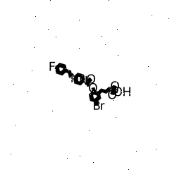 O=C(COc1ccc(Br)cc1CCCS(=O)(=O)O)N1CCN(CCc2ccc(F)cc2)CC1